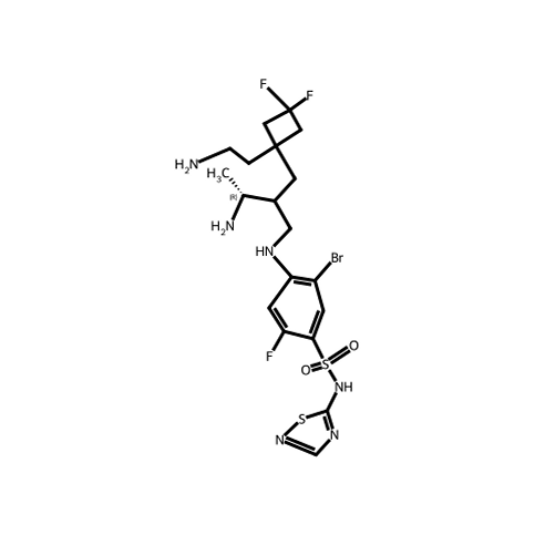 C[C@@H](N)C(CNc1cc(F)c(S(=O)(=O)Nc2ncns2)cc1Br)CC1(CCN)CC(F)(F)C1